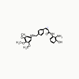 COc1cc(NCc2ccc(/C=C\C(=O)Nc3cccc(O)c3N)cc2)cc(OC)c1OC